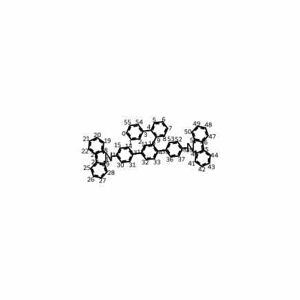 c1ccc(-c2ccccc2-c2cc(-c3ccc(-n4c5ccccc5c5ccccc54)cc3)ccc2-c2ccc(-n3c4ccccc4c4ccccc43)cc2)cc1